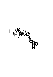 NC(=O)CC[C@H](N)C(=O)Nc1cccc(COc2ccc3c(c2)CC(=O)N3)c1